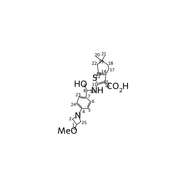 COC1CN(c2ccc(C(O)Nc3sc4c(c3C(=O)O)CCC(C)(C)C4)cc2)C1